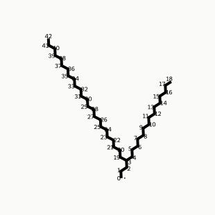 [CH2]CCC(CCCCCCCCCCCCCCC)CCCCCCCCCCCCCCCCCCCCCCCC